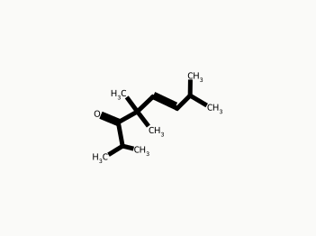 CC(C)C=CC(C)(C)C(=O)C(C)C